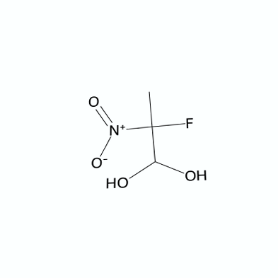 CC(F)(C(O)O)[N+](=O)[O-]